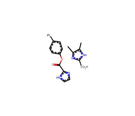 CC(C)c1ccc(OC(=O)c2ncc[nH]2)cc1.Cc1nc(C(=O)O)[nH]c1C